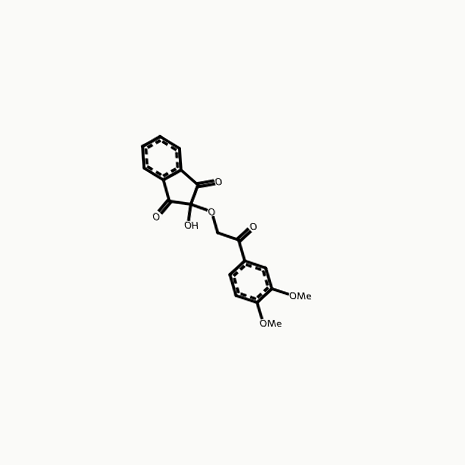 COc1ccc(C(=O)COC2(O)C(=O)c3ccccc3C2=O)cc1OC